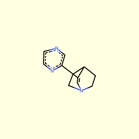 C1=C(c2cnccn2)C2CCN1CC2